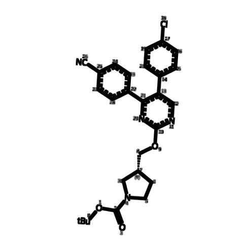 CC(C)(C)OC(=O)N1CC[C@@H](COc2ncc(-c3ccc(Cl)cc3)c(-c3ccc(C#N)cc3)n2)C1